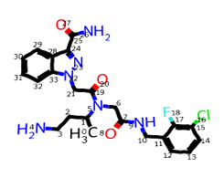 CC(CCN)N(CC(=O)NCc1cccc(Cl)c1F)C(=O)Cn1nc(C(N)=O)c2ccccc21